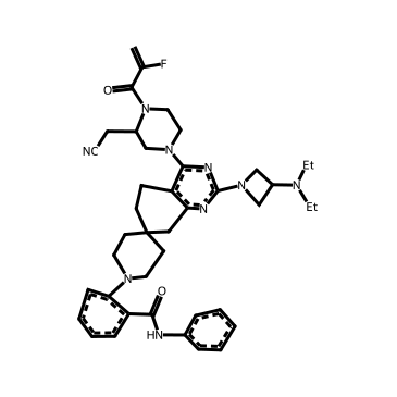 C=C(F)C(=O)N1CCN(c2nc(N3CC(N(CC)CC)C3)nc3c2CCC2(CCN(c4ccccc4C(=O)Nc4ccccc4)CC2)C3)CC1CC#N